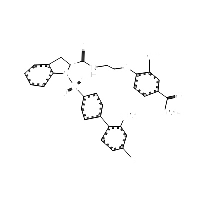 COC(=O)c1ccc(OCCNC(=O)[C@@H]2Cc3ccccc3N2S(=O)(=O)c2ccc(-c3ccc(F)cc3OC)cc2)c(C(F)(F)F)c1